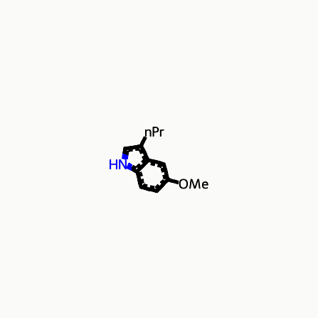 CCCc1c[nH]c2ccc(OC)cc12